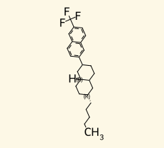 CCCCC[C@@H]1CC[C@@H]2CC(c3ccc4cc(C(F)(F)F)ccc4c3)CCC2C1